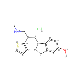 CNCC(CC1CCc2cc(OC)ccc21)c1cccs1.Cl